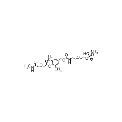 CNC(=O)COCC(=O)Oc1c(C)cc(COC(=O)NCCOCCOP(=O)(O)OC)cc1C